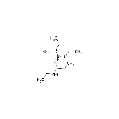 CCNC(CC)C[SiH](OCC)OCC.N